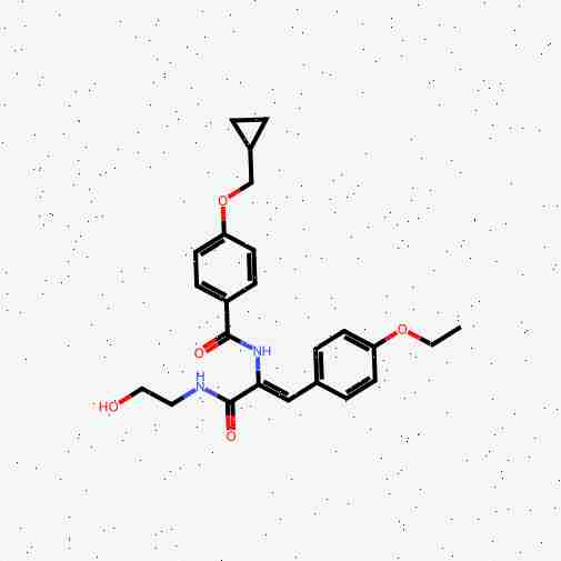 CCOc1ccc(C=C(NC(=O)c2ccc(OCC3CC3)cc2)C(=O)NCCO)cc1